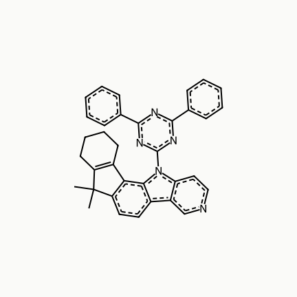 CC1(C)C2=C(CCCC2)c2c1ccc1c3cnccc3n(-c3nc(-c4ccccc4)nc(-c4ccccc4)n3)c21